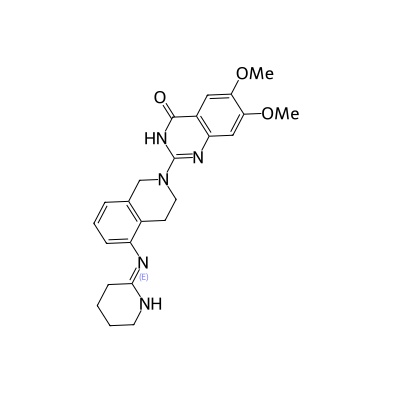 COc1cc2nc(N3CCc4c(cccc4/N=C4\CCCCN4)C3)[nH]c(=O)c2cc1OC